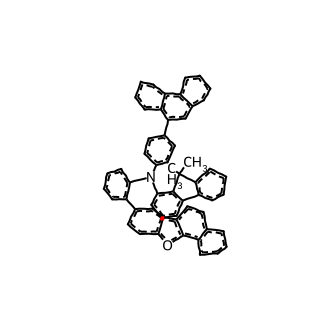 CC1(C)c2ccccc2-c2cccc(N(c3ccc(-c4cc5ccccc5c5ccccc45)cc3)c3ccccc3-c3ccc4oc5c6ccccc6ccc5c4c3)c21